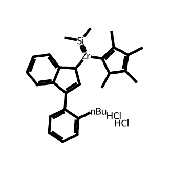 CCCCc1ccccc1C1=C[CH]([Zr]([C]2=C(C)C(C)=C(C)C2C)=[Si](C)C)c2ccccc21.Cl.Cl